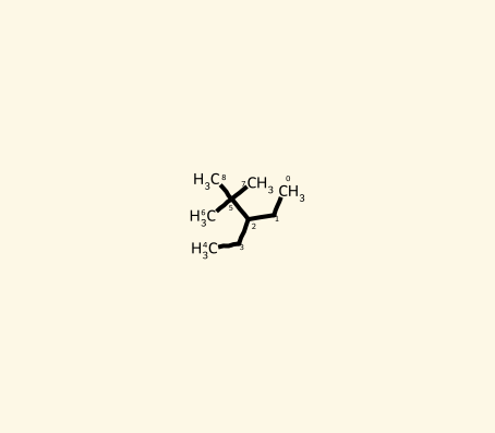 CCC(CC)C(C)(C)C